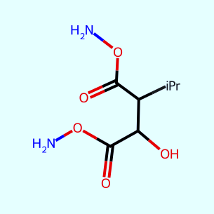 CC(C)C(C(=O)ON)C(O)C(=O)ON